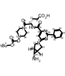 CCCCOC(=O)ON1CCN(C(=O)[C@H](CCC(=O)O)NC(=O)c2cc(N3C[C@@H]4[C@@H](N)[C@@H]4C3)nc(-c3ccccc3)n2)CC1